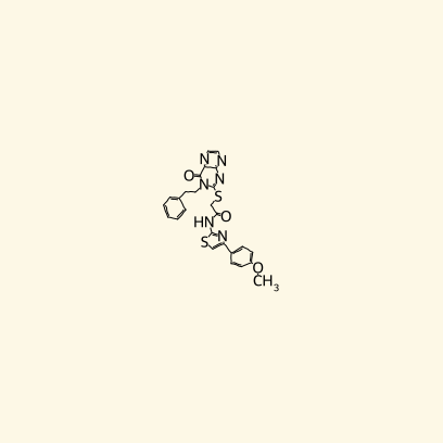 COc1ccc(-c2csc(NC(=O)CSc3nc4nccnc4c(=O)n3CCc3ccccc3)n2)cc1